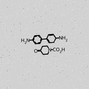 Nc1ccc(C2=CCC(N)C=C2)cc1.O=C1CCN(C(=O)O)CC1